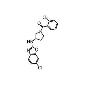 O=C(c1ccccc1Cl)N1CC[C@@H](Nc2nc3ccc(Cl)cc3o2)C1